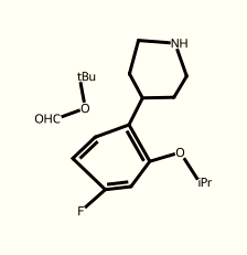 CC(C)(C)OC=O.CC(C)Oc1cc(F)ccc1C1CCNCC1